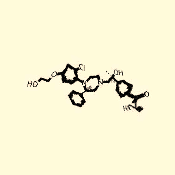 CNC(=O)c1ccc([C@](C)(O)CN2CCN(c3ccc(OCCO)cc3Cl)[C@H](c3ccccc3)C2)cc1